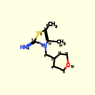 Cc1sc(=N)n(CC2CCOCC2)c1C